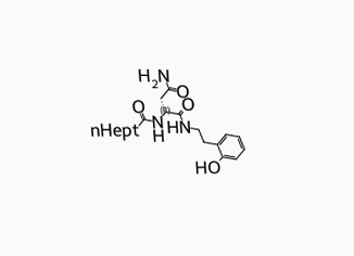 CCCCCCCC(=O)N[C@H](CC(N)=O)C(=O)NCCc1ccccc1O